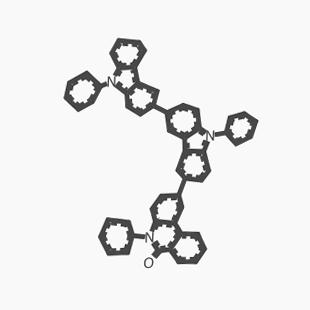 O=c1c2ccccc2c2cc(-c3ccc4c(c3)c3cc(-c5ccc6c(c5)c5ccccc5n6-c5ccccc5)ccc3n4-c3ccccc3)ccc2n1-c1ccccc1